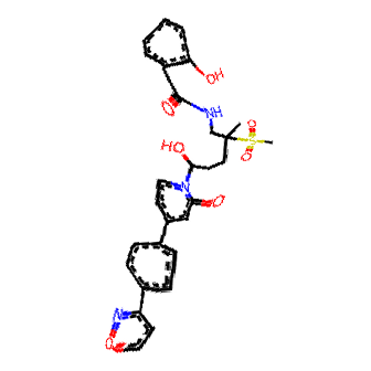 CC(CNC(=O)c1ccccc1O)(CC(O)n1ccc(-c2ccc(-c3ccon3)cc2)cc1=O)S(C)(=O)=O